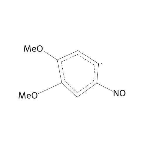 COc1c[c]c(N=O)cc1OC